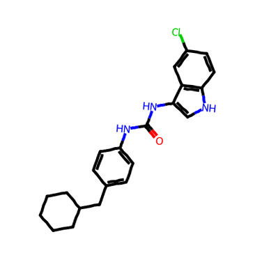 O=C(Nc1ccc(CC2CCCCC2)cc1)Nc1c[nH]c2ccc(Cl)cc12